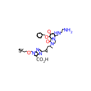 CC(CC1CC1c1cnc2c(n1)c(C(=O)O)cn2COCC[Si](C)(C)C)N1CCn2c(CNCCN)cc(=O)c(OCc3ccccc3)c2C1=O